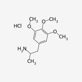 COc1cc(CC(C)N)cc(OC)c1OC.Cl